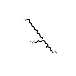 C=CCNCCCN(CCCN)CCCCCCCCCCCC